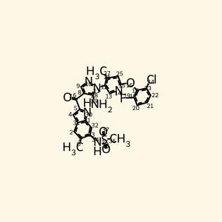 Cc1cc2cc(C(=O)c3cnn(-c4cnc(Oc5c(F)cccc5Cl)cc4C)c3N)[nH]c2cc1NS(C)(=O)=O